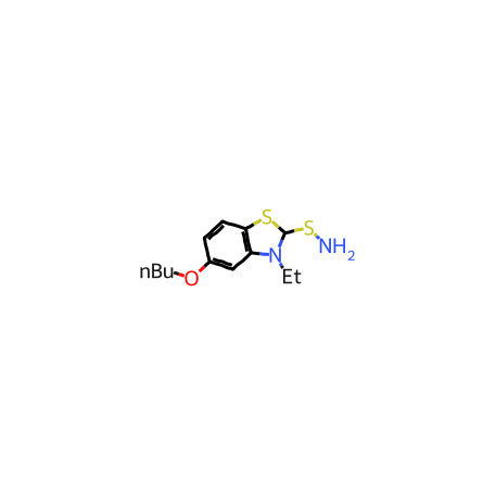 CCCCOc1ccc2c(c1)N(CC)C(SN)S2